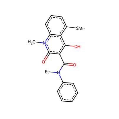 CCN(C(=O)c1c(O)c2c(SC)cccc2n(C)c1=O)c1ccccc1